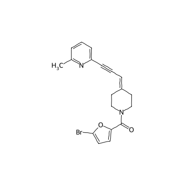 Cc1cccc(C#CC=C2CCN(C(=O)c3ccc(Br)o3)CC2)n1